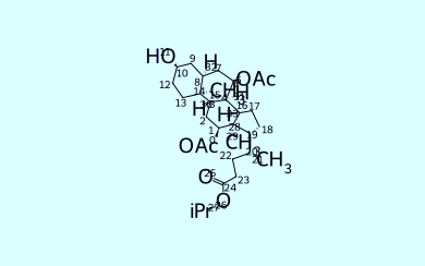 CC(=O)O[C@H]1C[C@H]2[C@@H]([C@H](OC(C)=O)C[C@@H]3C[C@H](O)CC[C@@]32C)[C@@H]2CC[C@H]([C@H](C)CCC(=O)OC(C)C)[C@@]12C